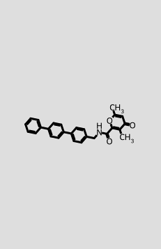 Cc1cc(=O)c(C)c(C(=O)NCc2ccc(-c3ccc(-c4ccccc4)cc3)cc2)o1